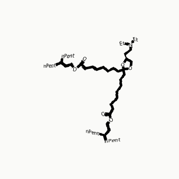 CCCCCC(CCCCC)CCOC(=O)CCCCCCCC1(CCCCCCCC(=O)OCCC(CCCCC)CCCCC)OC[C@H](CCN(CC)CC)O1